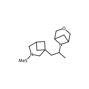 CSN1CC2CC(CC(C)N3C4COCC3C4)(C2)C1